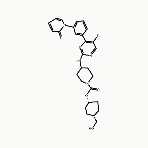 O=C(O[C@H]1CC[C@H](CO)CC1)N1CCC(Nc2ncc(F)c(-c3cccc(-n4ccccc4=O)c3)n2)CC1